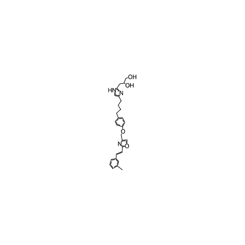 Cc1cccc(C=Cc2nc(COc3ccc(CCCCc4c[nH]c(CC(O)CO)n4)cc3)co2)c1